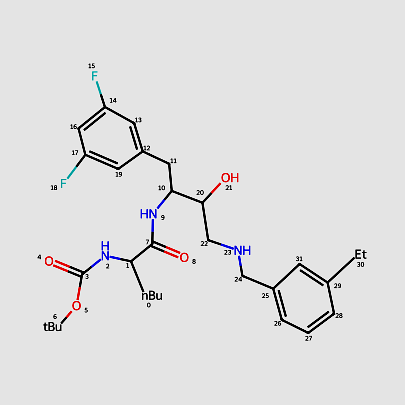 CCCCC(NC(=O)OC(C)(C)C)C(=O)NC(Cc1cc(F)cc(F)c1)C(O)CNCc1cccc(CC)c1